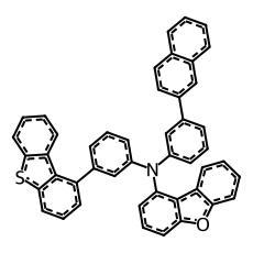 c1cc(-c2ccc3ccccc3c2)cc(N(c2cccc(-c3cccc4sc5ccccc5c34)c2)c2cccc3oc4ccccc4c23)c1